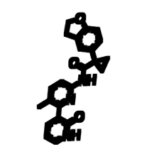 Cc1ccc(NC(=O)C2(c3ccc4c(c3)CCO4)CC2)nc1-c1ccc[nH]c1=O